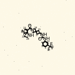 O=C(Nc1cccc(C(F)(F)F)c1)NC1CC2(C1)CN(C(=O)c1cnn3c1NCC3)C2